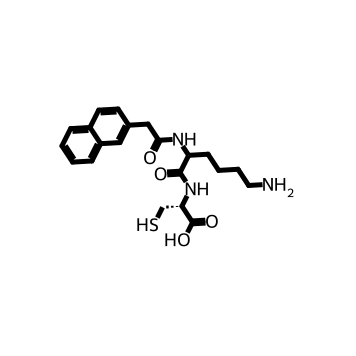 NCCCCC(NC(=O)Cc1ccc2ccccc2c1)C(=O)N[C@@H](CS)C(=O)O